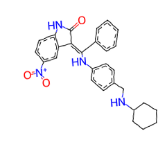 O=C1Nc2ccc([N+](=O)[O-])cc2C1=C(Nc1ccc(CNC2CCCCC2)cc1)c1ccccc1